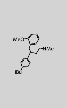 CCC(C)c1ccc(C(CCNC)Cc2ccccc2OC)cc1